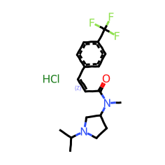 CC(C)N1CCC(N(C)C(=O)/C=C\c2ccc(C(F)(F)F)cc2)C1.Cl